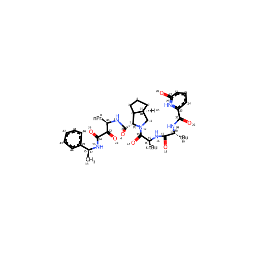 CCC[C@@H](NC(=O)[C@@H]1C2CCC[C@H]2CN1C(=O)[C@@H](NC(=O)[C@H](NC(=O)c1cccc(=O)[nH]1)C(C)(C)C)C(C)(C)C)C(=O)C(=O)N[C@@H](C)c1ccccc1